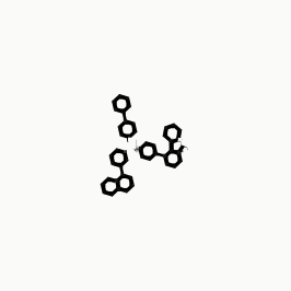 c1ccc(-c2ccc(N(c3ccc(-c4cccc5sc6ccccc6c45)cc3)c3cccc(-c4cccc5ccccc45)c3)cc2)cc1